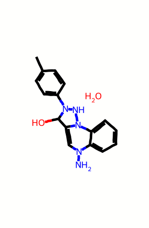 Cc1ccc(N2NN3C(=CN(N)c4ccccc43)C2O)cc1.O